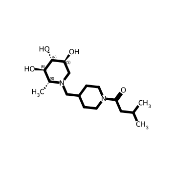 CC(C)CC(=O)N1CCC(CN2C[C@H](O)[C@@H](O)[C@H](O)[C@H]2C)CC1